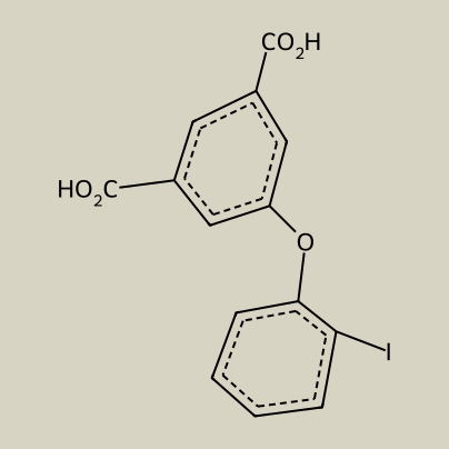 O=C(O)c1cc(Oc2ccccc2I)cc(C(=O)O)c1